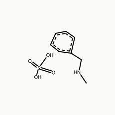 CNCc1ccccc1.O=S(=O)(O)O